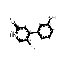 O=c1cc(-c2cccc(O)c2)c(F)c[nH]1